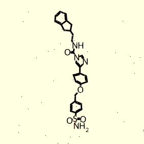 NS(=O)(=O)c1ccc(COc2ccc(-c3cn(C(=O)NCCC4Cc5ccccc5C4)cn3)cc2)cc1